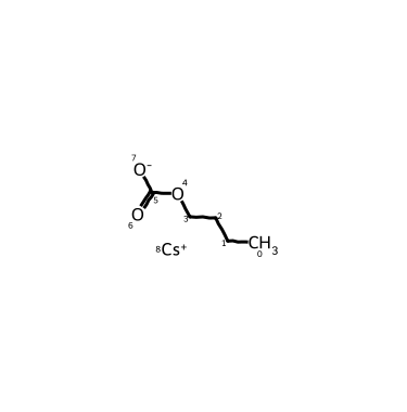 CCCCOC(=O)[O-].[Cs+]